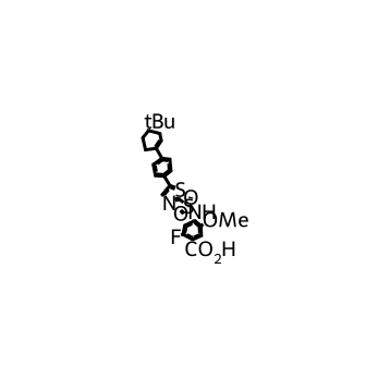 COc1cc(C(=O)O)c(F)cc1NS(=O)(=O)c1ncc(-c2ccc(C3=CCC(C(C)(C)C)CC3)cc2)s1